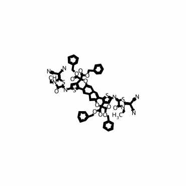 CCN1C(=O)/C(=N/c2cc3c(s2)C2=CC4C=C5OC(C(=O)OCc6ccccc6)(C(=O)OCc6ccccc6)c6cc(/N=C7/SC(=C(C#N)C#N)N(CC)C7=O)sc6C5=CC4C=C2OC3(C(=O)OCc2ccccc2)C(=O)OCc2ccccc2)SC1=C(C#N)C#N